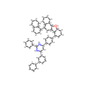 c1ccc(-c2cccc(-c3cc(-c4ccc(-c5cccc6oc7c8ccccc8c(-c8cccc9ccccc89)cc7c56)cc4)nc(-c4ccccc4)n3)c2)cc1